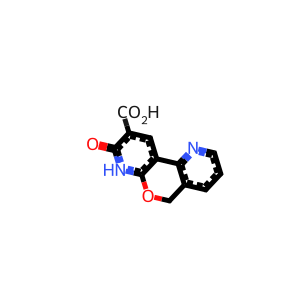 O=C(O)c1cc2c([nH]c1=O)OCc1cccnc1-2